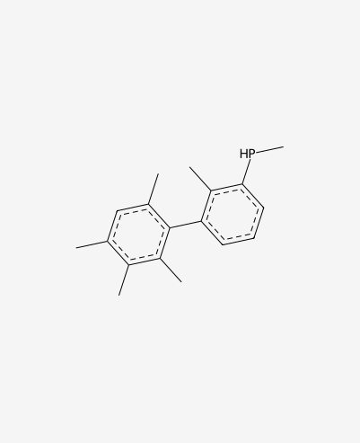 CPc1cccc(-c2c(C)cc(C)c(C)c2C)c1C